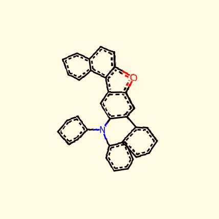 c1ccc(-c2cc3oc4ccc5ccccc5c4c3cc2N(c2ccccc2)c2ccccc2)cc1